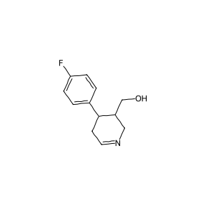 OCC1CN=CCC1c1ccc(F)cc1